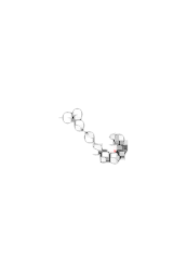 C[Si](C)(C)O[Si](C)(C)O[Si](C)(C)O[Si](C)(C)O[Si](C)(C)CCCOCCOCC([O])=O